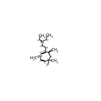 C=C1CC(C)(F)/C=C\N(C)/C=C\1CCN(CC)CC